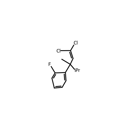 CC(C)C(C)(C=C(Cl)Cl)c1ccccc1F